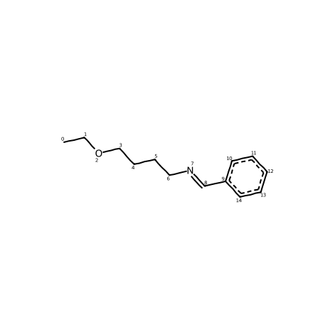 CCOCCCCN=Cc1ccccc1